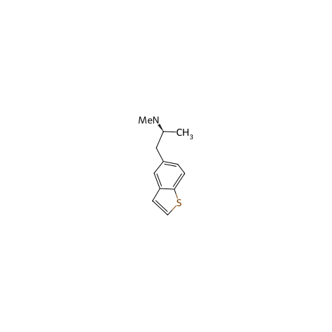 CN[C@@H](C)Cc1ccc2sccc2c1